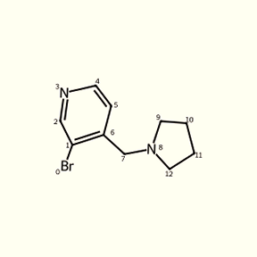 Brc1cnccc1CN1CCCC1